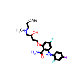 COCCN(C)CC(O)CCOc1cc(F)cc(Nc2ccc(I)cc2F)c1C(N)=O